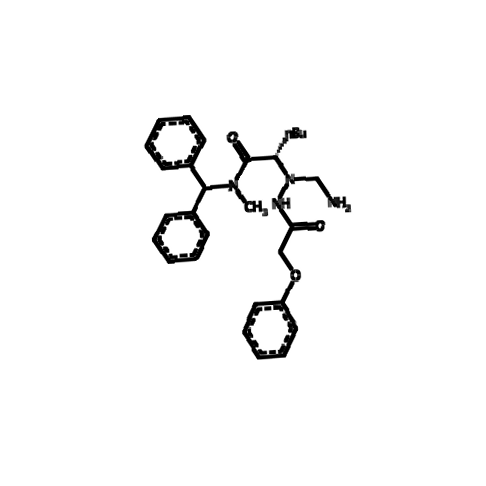 CCCC[C@@H](C(=O)N(C)C(c1ccccc1)c1ccccc1)N(CN)NC(=O)COc1ccccc1